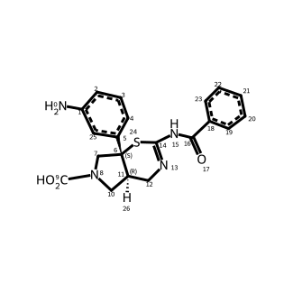 Nc1cccc([C@]23CN(C(=O)O)C[C@@H]2CN=C(NC(=O)c2ccccc2)S3)c1